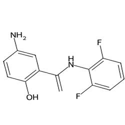 C=C(Nc1c(F)cccc1F)c1cc(N)ccc1O